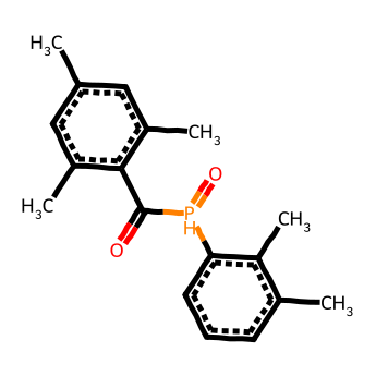 Cc1cc(C)c(C(=O)[PH](=O)c2cccc(C)c2C)c(C)c1